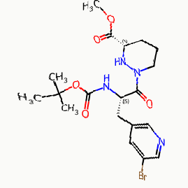 COC(=O)[C@@H]1CCCN(C(=O)[C@H](Cc2cncc(Br)c2)NC(=O)OC(C)(C)C)N1